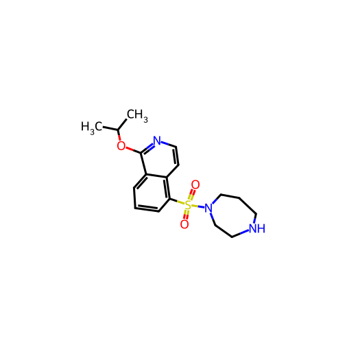 CC(C)Oc1nccc2c(S(=O)(=O)N3CCCNCC3)cccc12